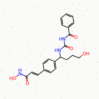 O=C(C=Cc1ccc(C(CCCO)NC(=O)NC(=O)c2ccccc2)cc1)NO